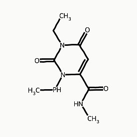 CCn1c(=O)cc(C(=O)NC)n(PC)c1=O